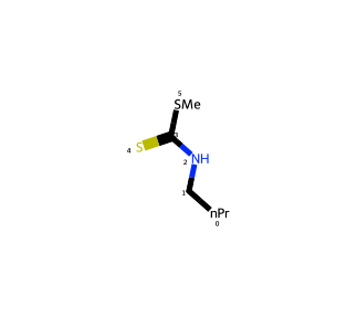 CCCCNC(=S)SC